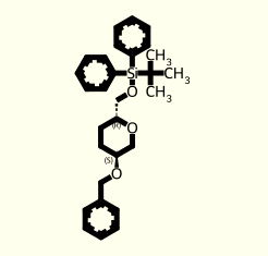 CC(C)(C)[Si](OC[C@H]1CC[C@H](OCc2ccccc2)CO1)(c1ccccc1)c1ccccc1